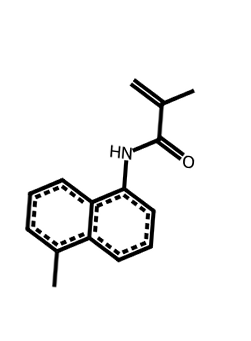 C=C(C)C(=O)Nc1cccc2c(C)cccc12